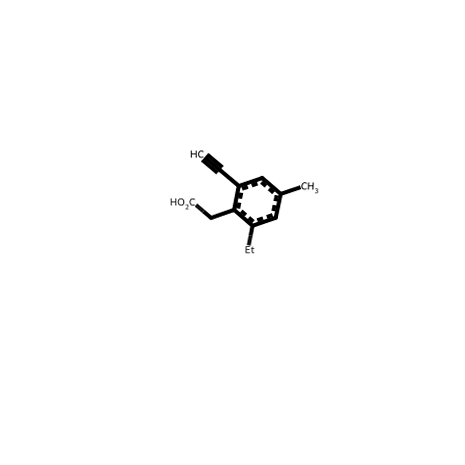 C#Cc1cc(C)cc(CC)c1CC(=O)O